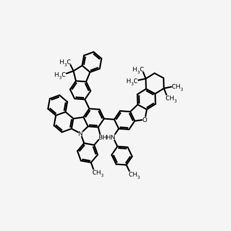 Cc1ccc(Nc2cc3oc4cc5c(cc4c3cc2-c2cc(-c3ccc4c(c3)-c3ccccc3C4(C)C)c3c4c6ccccc6ccc4n4c3c2Bc2cc(C)ccc2-4)C(C)(C)CCC5(C)C)cc1